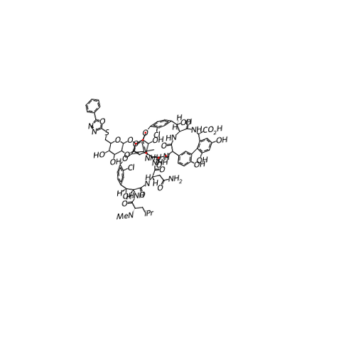 CN[C@@H](CC(C)C)C(=O)N[C@H]1C(=O)N[C@@H](CC(N)=O)C(=O)N[C@H]2C(=O)N[C@H]3C(=O)N[C@H](C(=O)N[C@@H](C(=O)O)c4cc(O)cc(O)c4-c4cc3ccc4O)[C@H](O)c3ccc(c(Cl)c3)Oc3cc2cc(c3OC2OC(CSc3nnc(-c4ccccc4)o3)C(O)C(O)C2OC2CC(C)(N)C(O)C(C)O2)Oc2ccc(cc2Cl)[C@H]1O